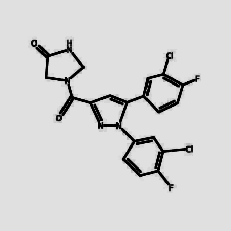 O=C1CN(C(=O)c2cc(-c3ccc(F)c(Cl)c3)n(-c3ccc(F)c(Cl)c3)n2)CN1